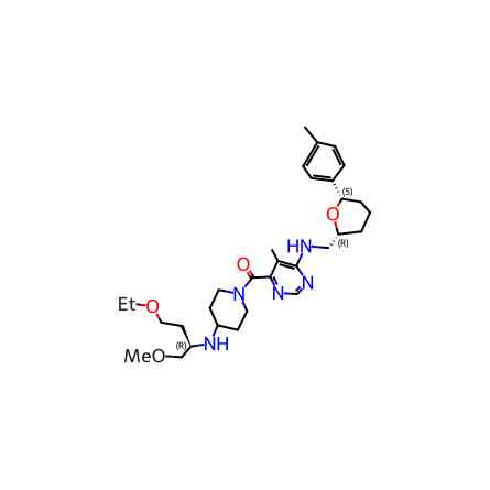 CCOCC[C@H](COC)NC1CCN(C(=O)c2ncnc(NC[C@H]3CCC[C@@H](c4ccc(C)cc4)O3)c2C)CC1